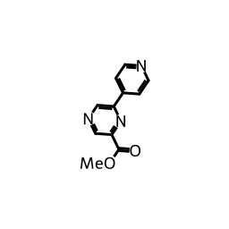 COC(=O)c1cncc(-c2ccncc2)n1